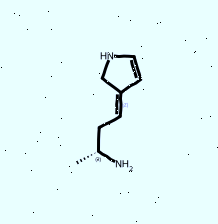 C[C@@H](N)C/C=C1/C=CNC1